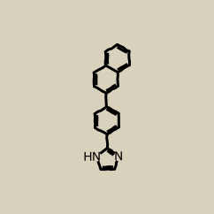 c1ccc2cc(-c3ccc(-c4ncc[nH]4)cc3)ccc2c1